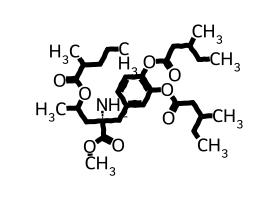 CCCC(C)C(=O)OC(C)C[C@@](N)(Cc1ccc(OC(=O)CC(C)CC)c(OC(=O)CC(C)CC)c1)C(=O)OC